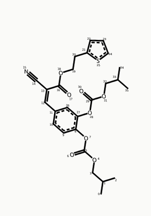 CC(C)COC(=O)Oc1ccc(C=C(C#N)C(=O)OCCc2cccs2)cc1OC(=O)OCC(C)C